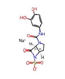 O=C(Nc1ccc(O)c(O)c1)N1CC[C@@H]2[C@H]1C(=O)N2S(=O)(=O)[O-].[Na+]